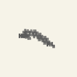 CC1(C)CC(Cc2ccc(-c3ccc(-c4ccc(CP)cc4)cc3)cc2)CC(C)(C)N1O